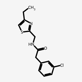 CCc1csc(CNC(=O)Cc2cccc(Cl)c2)n1